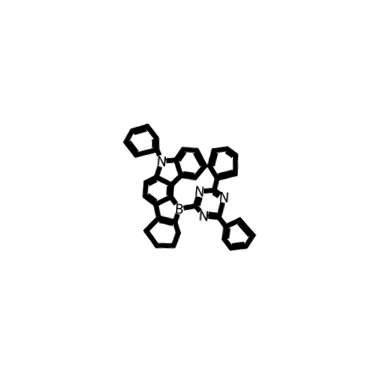 c1ccc(-c2nc(B3C4=C(CCCC4)c4ccc5c(c43)c3ccccc3n5-c3ccccc3)nc(-c3ccccc3)n2)cc1